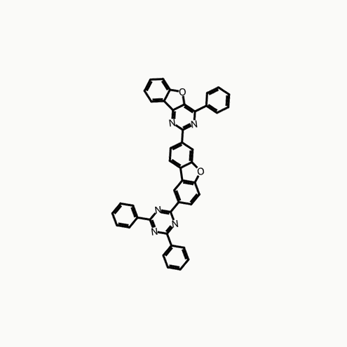 c1ccc(-c2nc(-c3ccccc3)nc(-c3ccc4oc5cc(-c6nc(-c7ccccc7)c7oc8ccccc8c7n6)ccc5c4c3)n2)cc1